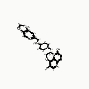 O=c1ccc2ncc(F)c3c2n1[C@@H](CN1CCC(NCc2cc4c(cn2)OCS4)CC1)CO3